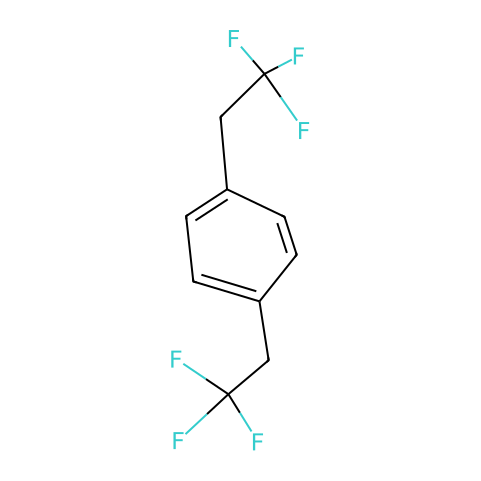 FC(F)(F)Cc1ccc(CC(F)(F)F)cc1